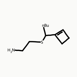 CCCCC(SCCN)C1=CCC1